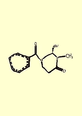 CCC(C)[C@H]1N(C)C(=O)CCN1C(=O)c1ccccc1